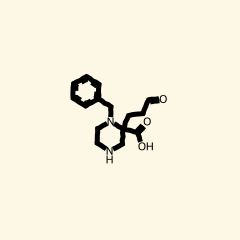 O=CCCC1(C(=O)O)CNCCN1Cc1ccccc1